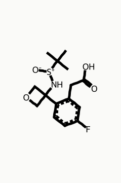 CC(C)(C)[S+]([O-])NC1(c2ccc(F)cc2CC(=O)O)COC1